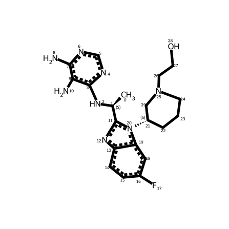 C[C@H](Nc1ncnc(N)c1N)c1nc2ccc(F)cc2n1[C@H]1CCCN(CCO)C1